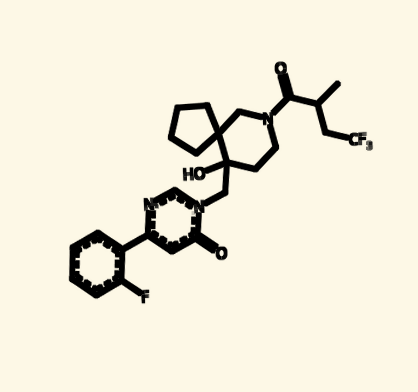 CC(CC(F)(F)F)C(=O)N1CCC(O)(Cn2cnc(-c3ccccc3F)cc2=O)C2(CCCC2)C1